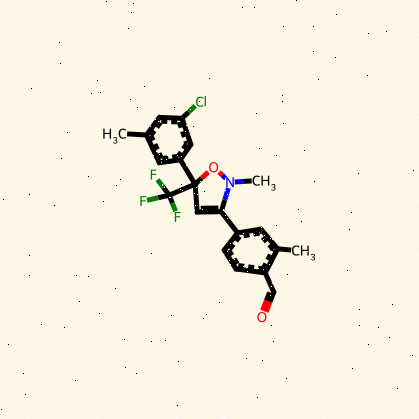 Cc1cc(Cl)cc(C2(C(F)(F)F)C=C(c3ccc(C=O)c(C)c3)N(C)O2)c1